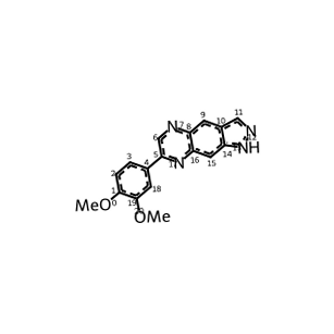 COc1ccc(-c2cnc3cc4cn[nH]c4cc3n2)cc1OC